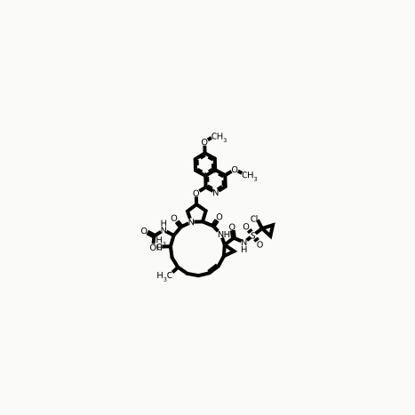 COc1ccc2c(OC3CC4C(=O)NC5(C(=O)NS(=O)(=O)C6(Cl)CC6)CC5C=CCCC(C)CC(C)C(NC(=O)O)C(=O)N4C3)ncc(OC)c2c1